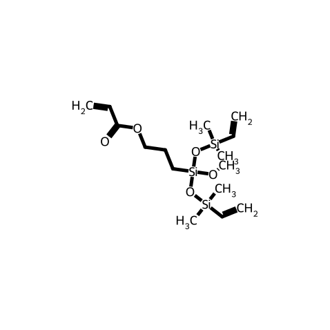 C=CC(=O)OCCC[Si](OC)(O[Si](C)(C)C=C)O[Si](C)(C)C=C